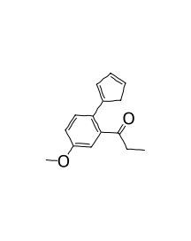 CCC(=O)c1cc(OC)ccc1C1=CC=CC1